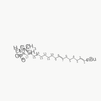 CCCCC=CCCCCC=CCCCCCCCCCC(CC)(P(=O)=O)[N+](C)(C)C